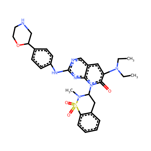 CCN(CC)c1cc2cnc(Nc3ccc(C4CNCCO4)cc3)nc2n(C2Cc3ccccc3S(=O)(=O)N2C)c1=O